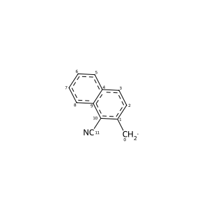 [CH2]c1ccc2ccccc2c1C#N